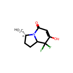 O=C(O)[C@H]1CCC2N1C(=O)C=C(O)C2(F)F